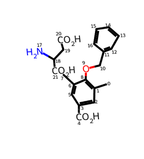 Cc1cc(C(=O)O)cc(C)c1OCc1ccccc1.NC(CC(=O)O)C(=O)O